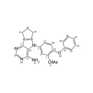 COc1cc(-n2c3c(c4ncnc(N)c42)CCC3)ccc1Oc1ccccc1